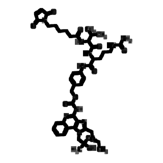 CCOCc1nc2c(NC(=O)OCc3ccc(NC(=O)C(CCCNC(N)=O)NC(=O)C(NC(=O)CCCCCN4C(=O)C=CC4=O)C(C)C)cc3)nc3ccccc3c2n1CC(C)(C)O